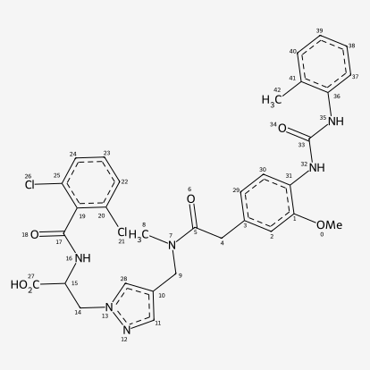 COc1cc(CC(=O)N(C)Cc2cnn(CC(NC(=O)c3c(Cl)cccc3Cl)C(=O)O)c2)ccc1NC(=O)Nc1ccccc1C